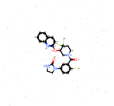 O=C(c1cc(N2CCNC2=O)ccc1F)N1CCC(F)(F)C(Oc2ccc3ccccc3n2)C1